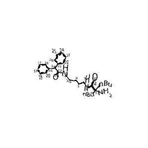 CCCCC(N)(CCCC)C(=O)NCCCCNC(=O)C(c1ccccc1)c1ccccc1